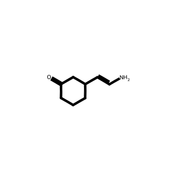 NC=CC1CCCC(=O)C1